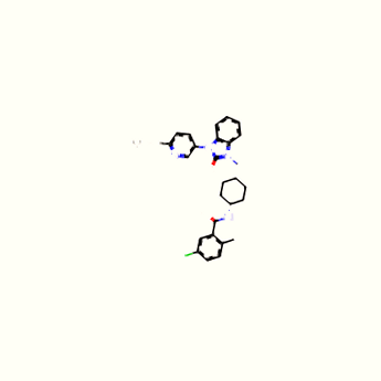 COc1ccc(-n2c(=O)n(C[C@H]3CC[C@H](NC(=O)c4cc(Cl)ccc4C)CC3)c3ccccc32)cn1